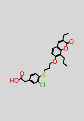 CCCc1c(OCCCSc2ccc(CC(=O)O)cc2Cl)ccc2cc(CC)c(=O)oc12